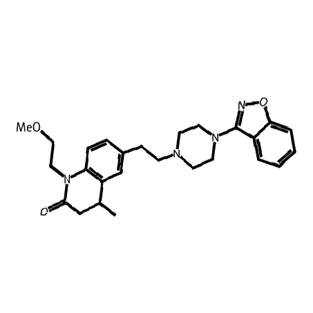 COCCN1C(=O)CC(C)c2cc(CCN3CCN(c4noc5ccccc45)CC3)ccc21